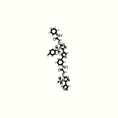 Cc1ccc(S(=O)(=O)n2c(SCC(=O)Nc3ccccc3)nnc2-c2csc(-c3cccc(NC(=O)CSc4nnc(-c5ccsc5)n4S(C)(=O)=O)c3)c2)cc1